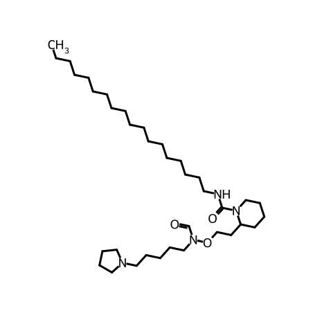 CCCCCCCCCCCCCCCCCCNC(=O)N1CCCCC1CCON(C=O)CCCCCN1CCCC1